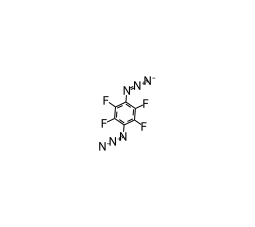 [N-]=[N+]=Nc1c(F)c(F)c(N=[N+]=[N-])c(F)c1F